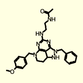 COc1ccc(CN2CCC3NN(Cc4ccccc4)c4nc(NCCNC(C)=O)nc2c43)cc1